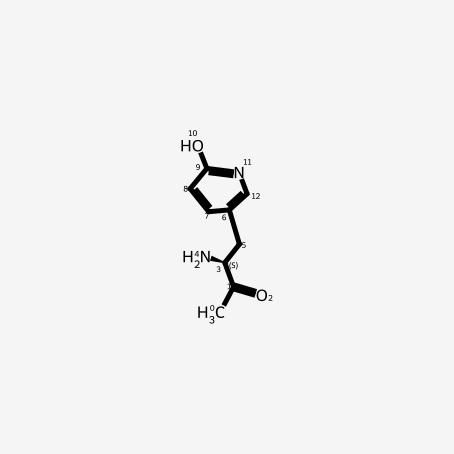 CC(=O)[C@@H](N)Cc1ccc(O)nc1